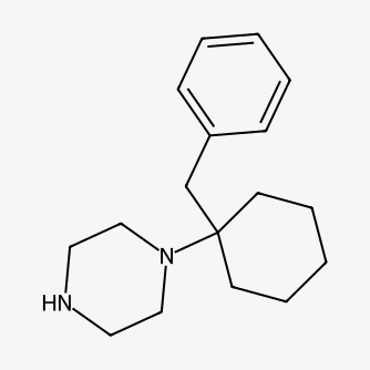 c1ccc(CC2(N3CCNCC3)CCCCC2)cc1